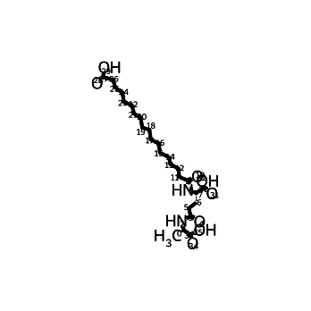 C[C@H](NC(=O)CC[C@H](NC(=O)CCCCCCCCCCCCCCCCC(=O)O)C(=O)O)C(=O)O